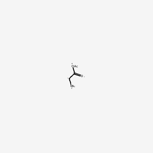 CCCCCC(=O)OC(C)=O